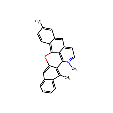 Cc1ccc2c3c4c([n+](C)ccc4cc2c1)-c1c(cc2ccccc2c1C)O3